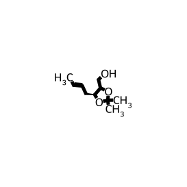 C/C=C/C[C@@H]1OC(C)(C)OC1CO